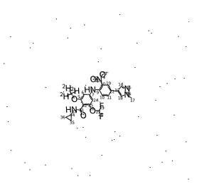 [2H]C([2H])([2H])Oc1cc(Nc2ccc(-c3cnn(C)c3)cc2[N+](=O)[O-])cc(OC(F)F)c1C(=O)NC1CC1